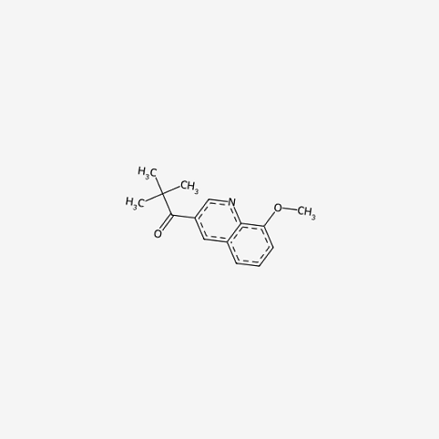 COc1cccc2cc(C(=O)C(C)(C)C)cnc12